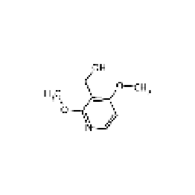 COc1ccnc(OC)c1CO